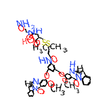 COc1cc2c(cc1OCc1cc(COc3cc4c(cc3OC)C(=O)N3c5ccccc5C[C@H]3CN4)cc(NC(=O)CCC(C)(C)SSCC(CC(=O)NCCON)C(=O)O)c1)N=C[C@@H]1Cc3ccccc3N1C2=O